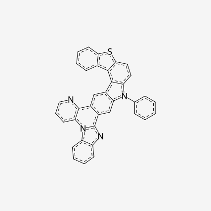 c1ccc(-n2c3cc4c(cc3c3c5c(ccc32)sc2ccccc25)c2ncccc2n2c3ccccc3nc42)cc1